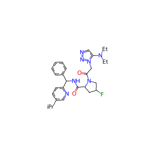 CCN(CC)c1cnnn1CC(=O)N1CC(F)CC1C(=O)NC(c1ccccc1)c1ccc(C(C)C)cn1